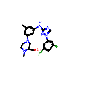 Cc1cc(Nc2ncn(-c3cc(F)cc(F)c3)n2)cc(N2CCN(C)C(CO)C2)c1